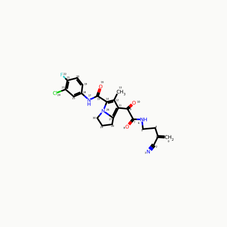 C=C(C#N)CCNC(=O)C(=O)c1c(C)c(C(=O)Nc2ccc(F)c(Cl)c2)n2c1CCC2